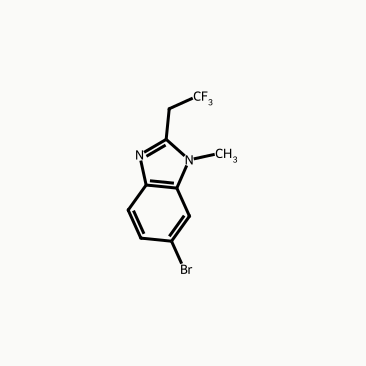 Cn1c(CC(F)(F)F)nc2ccc(Br)cc21